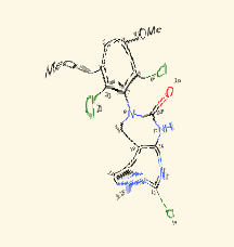 COc1cc(OC)c(Cl)c(N2Cc3cnc(Cl)nc3NC2=O)c1Cl